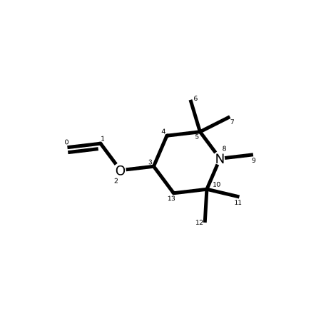 C=COC1CC(C)(C)N(C)C(C)(C)C1